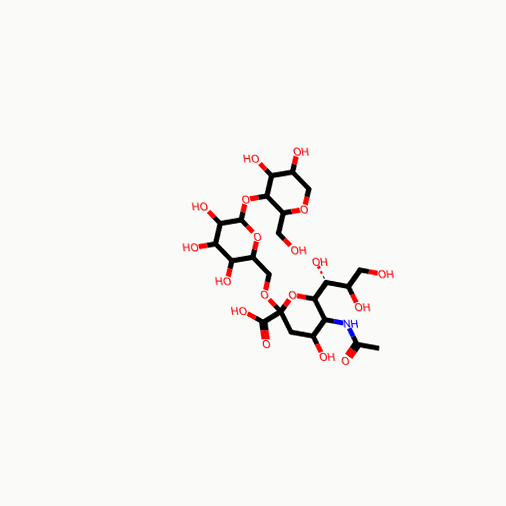 CC(=O)NC1C(O)CC(OCC2OC(OC3C(CO)OCC(O)C3O)C(O)C(O)C2O)(C(=O)O)OC1[C@H](O)C(O)CO